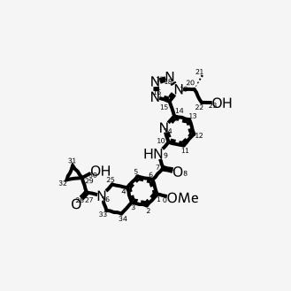 COc1cc2c(cc1C(=O)Nc1cccc(-c3nnnn3[C@H](C)CO)n1)CN(C(=O)C1(O)CC1)CC2